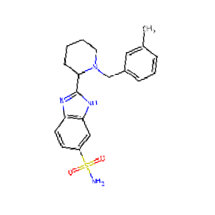 Cc1cccc(CN2CCCCC2c2nc3ccc(S(N)(=O)=O)cc3[nH]2)c1